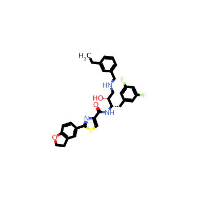 CCc1cccc(CNC[C@@H](O)[C@H](Cc2cc(F)cc(F)c2)NC(=O)c2csc(-c3ccc4c(c3)CCO4)n2)c1